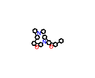 c1ccc(-c2ccc3oc4cc5c(cc4c3c2)c2ccccc2n5-c2ccc3oc4cccc(-c5ccc6c(c5)c5ccccc5n6-c5ccccc5)c4c3c2)cc1